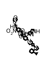 O=C(NS(=O)(=O)c1ccc(NCCN2CCOCC2)c([N+](=O)[O-])c1)c1ccc(N2CCC3(CC2)CC(N2CCCC2c2ccccc2C2CC2)C3)cc1Oc1cnc2[nH]ccc2c1